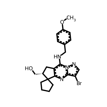 COc1ccc(CNc2c3c(nc4c(Br)cnn24)C2(CCCC2)[C@H](CO)C3)cc1